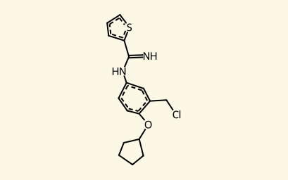 N=C(Nc1ccc(OC2CCCC2)c(CCl)c1)c1cccs1